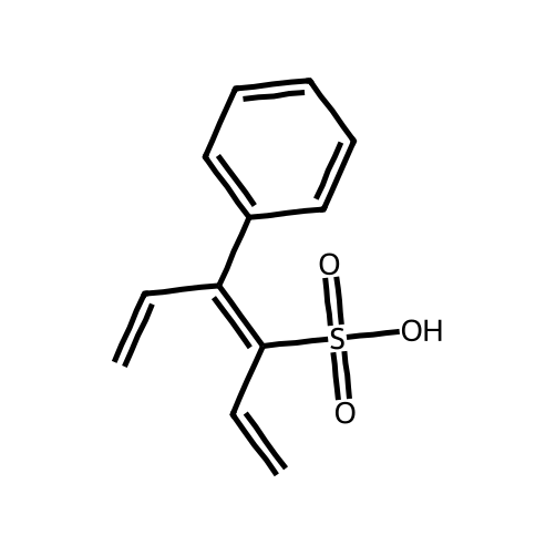 C=CC(=C(C=C)S(=O)(=O)O)c1ccccc1